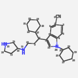 N#Cc1ccc2c(c1)c(C(CCNC1CCNC1)C1CCCCC1)cn2C1CCCCC1